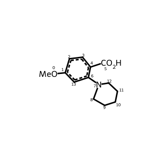 COc1ccc(C(=O)O)c(N2CCCCC2)c1